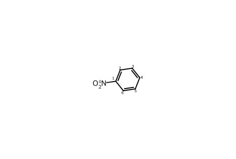 O=[15N+]([O-])c1ccccc1